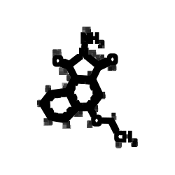 CCOc1cc2c(c3ccccc13)C(=O)N(N)C2=O